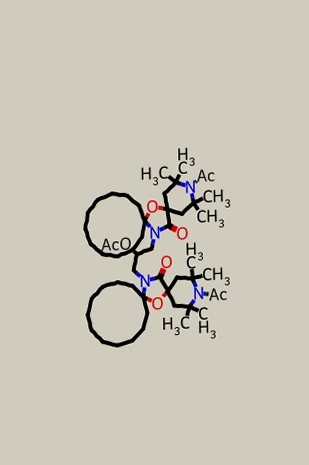 CC(=O)OC(CN1C(=O)C2(CC(C)(C)N(C(C)=O)C(C)(C)C2)OC12CCCCCCCCCCC2)CN1C(=O)C2(CC(C)(C)N(C(C)=O)C(C)(C)C2)OC12CCCCCCCCCCC2